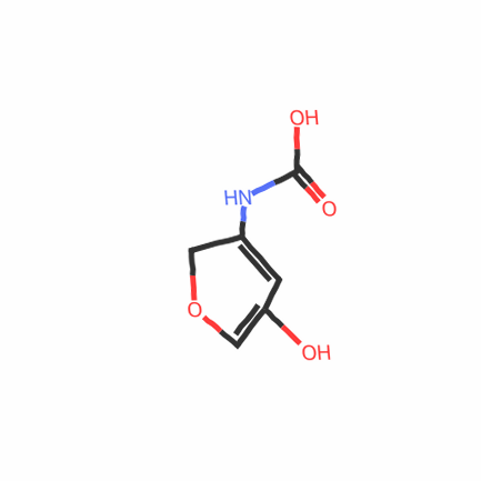 O=C(O)NC1=CC(O)=COC1